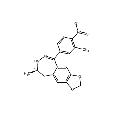 Cc1cc(C2=NN[C@H](C)Cc3cc4c(cc32)OCO4)ccc1[N+](=O)[O-]